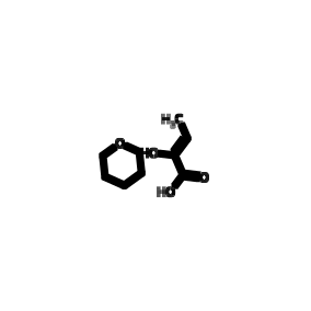 C1CCOCC1.CC=C(O)C(=O)O